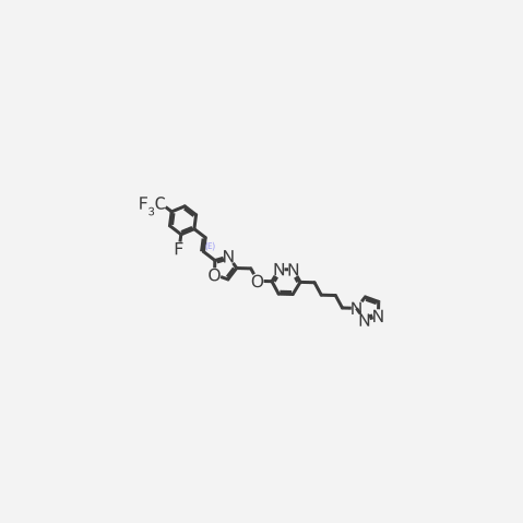 Fc1cc(C(F)(F)F)ccc1/C=C/c1nc(COc2ccc(CCCCn3ccnn3)nn2)co1